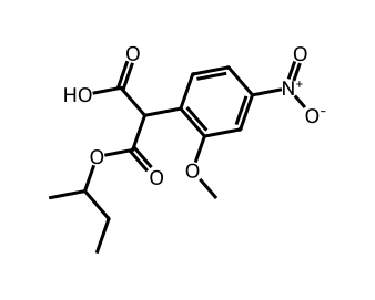 CCC(C)OC(=O)C(C(=O)O)c1ccc([N+](=O)[O-])cc1OC